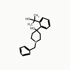 CC(C)(O)c1ccccc1C1(O)CCN(Cc2ccccc2)CC1